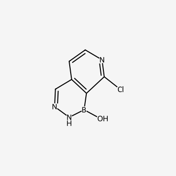 OB1NN=Cc2ccnc(Cl)c21